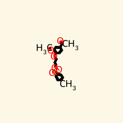 COc1cc(C(C)=O)ccc1OCCCOS(=O)(=O)c1ccc(C)cc1